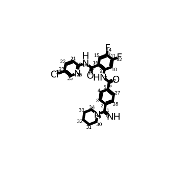 N=C(c1ccc(C(=O)Nc2cc(F)c(F)cc2C(=O)Nc2ccc(Cl)cn2)cc1)N1CCCCC1